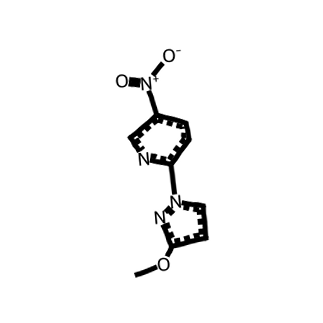 COc1ccn(-c2ccc([N+](=O)[O-])cn2)n1